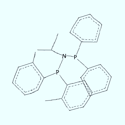 Cc1ccccc1P(c1ccccc1C)N(C(C)C)P(c1ccccc1)c1ccccc1